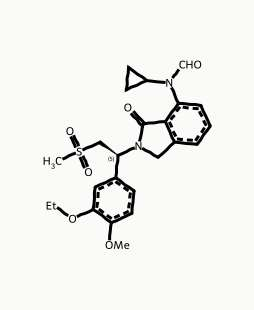 CCOc1cc([C@@H](CS(C)(=O)=O)N2Cc3cccc(N(C=O)C4CC4)c3C2=O)ccc1OC